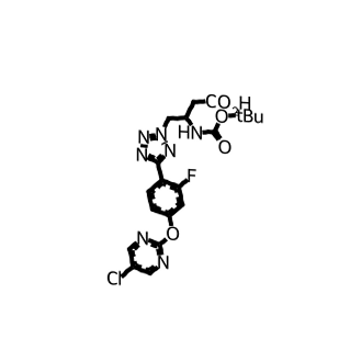 CC(C)(C)OC(=O)NC(CC(=O)O)Cn1nnc(-c2ccc(Oc3ncc(Cl)cn3)cc2F)n1